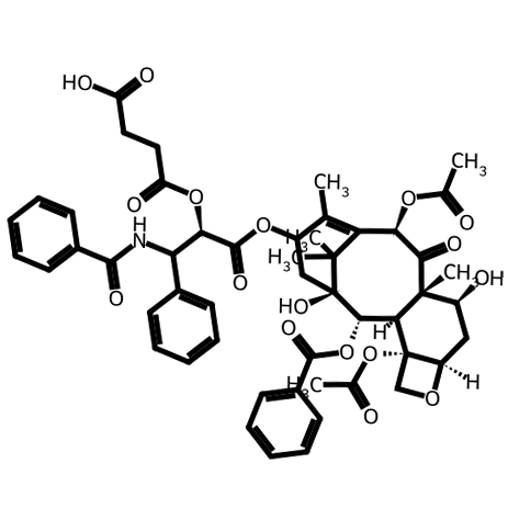 CC(=O)O[C@H]1C(=O)[C@@]2(C)[C@H]([C@H](OC(=O)c3ccccc3)[C@]3(O)CC(OC(=O)[C@H](OC(=O)CCC(=O)O)C(NC(=O)c4ccccc4)c4ccccc4)C(C)=C1C3(C)C)[C@]1(OC(C)=O)CO[C@@H]1C[C@@H]2O